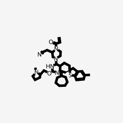 C=CC(=O)N1CCN(C2NC(OCC3CCCN3C)NC3(C4CCCCCC4)C[C@@]4(CCC23)Cc2cc(C)ccc2S4)CC1CC#N